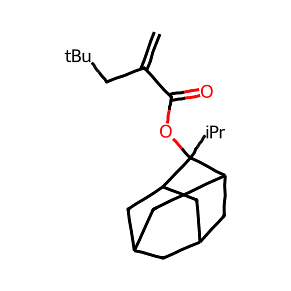 C=C(CC(C)(C)C)C(=O)OC1(C(C)C)C2CC3CC(C2)CC1C3